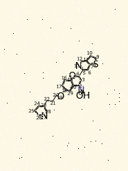 O/N=c1/cc(-c2cc3sccc3cn2)oc2ccc(OCCCc3cccnc3)cc12